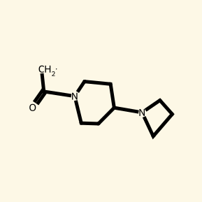 [CH2]C(=O)N1CCC(N2CCC2)CC1